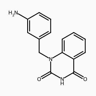 Nc1cccc(Cn2c(=O)[nH]c(=O)c3ccccc32)c1